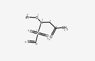 CC(C)ON(CC(N)=O)S(=O)(=O)C=S